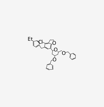 CCc1ccc(Cc2cc(C3CC(OCc4ccccc4)CC(COCc4ccccc4)O3)c3c(c2Cl)CCO3)cc1